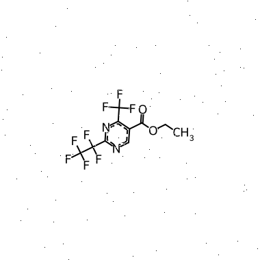 CCOC(=O)c1cnc(C(F)(F)C(F)(F)F)nc1C(F)(F)F